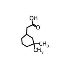 CC1(C)CCCC(CC(=O)O)C1